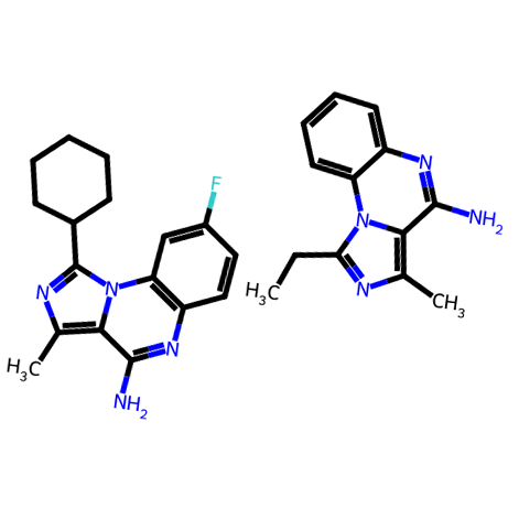 CCc1nc(C)c2c(N)nc3ccccc3n12.Cc1nc(C2CCCCC2)n2c1c(N)nc1ccc(F)cc12